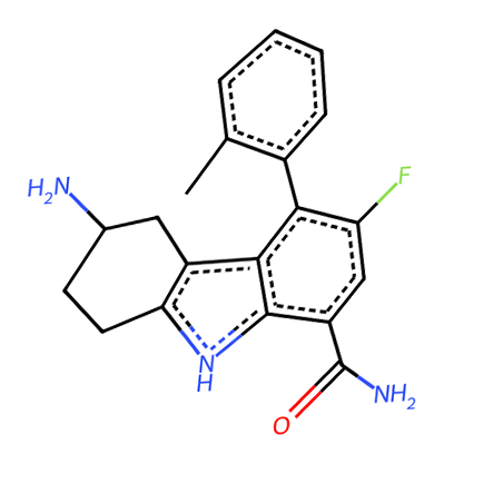 Cc1ccccc1-c1c(F)cc(C(N)=O)c2[nH]c3c(c12)CC(N)CC3